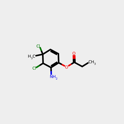 CCC(=O)OC1=C(N)C(Cl)C(C)(Cl)C=C1